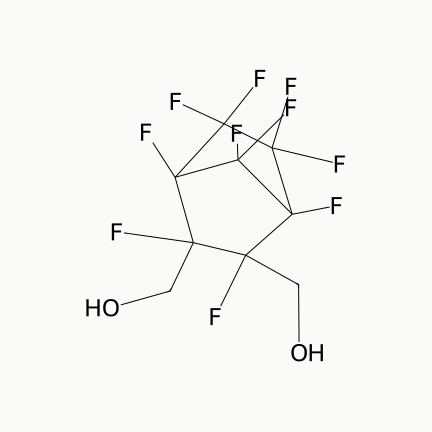 OCC1(F)C(F)(CO)C2(F)C(F)(F)C(F)(F)C1(F)C2(F)F